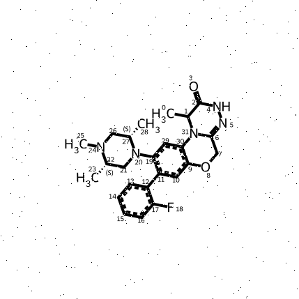 CC1C(=O)NN=C2COc3cc(-c4ccccc4F)c(N4C[C@H](C)N(C)C[C@@H]4C)cc3N21